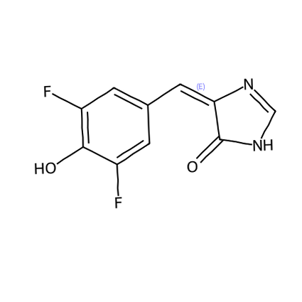 O=C1NC=N/C1=C/c1cc(F)c(O)c(F)c1